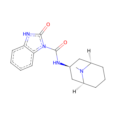 CN1[C@@H]2CCC[C@H]1C[C@@H](NC(=O)n1c(=O)[nH]c3ccccc31)C2